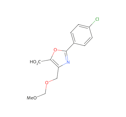 COCOCc1nc(-c2ccc(Cl)cc2)oc1C(=O)O